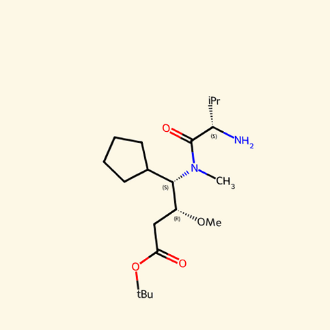 CO[C@H](CC(=O)OC(C)(C)C)[C@H](C1CCCC1)N(C)C(=O)[C@@H](N)C(C)C